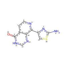 Nc1nc(-c2nccc3c(=O)[nH]cnc23)cs1